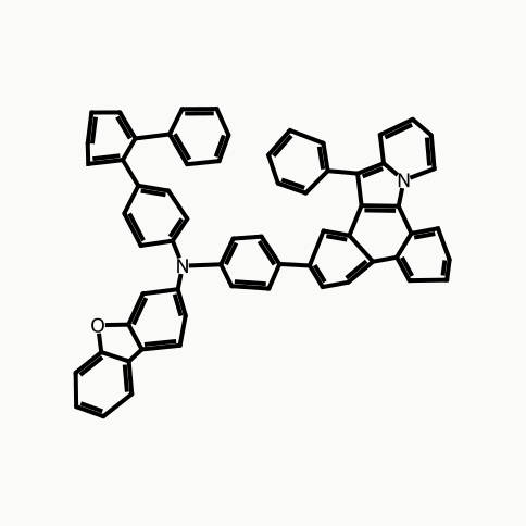 c1ccc(-c2ccccc2-c2ccc(N(c3ccc(-c4ccc5c6ccccc6c6c(c(-c7ccccc7)c7ccccn76)c5c4)cc3)c3ccc4c(c3)oc3ccccc34)cc2)cc1